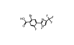 Cn1cc(C(F)(F)F)nc1-c1cc(Br)c(C(=O)O)cc1F